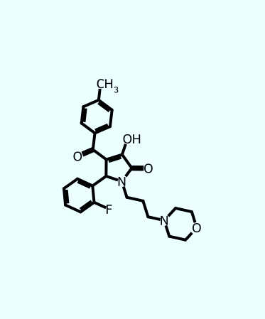 Cc1ccc(C(=O)C2=C(O)C(=O)N(CCCN3CCOCC3)C2c2ccccc2F)cc1